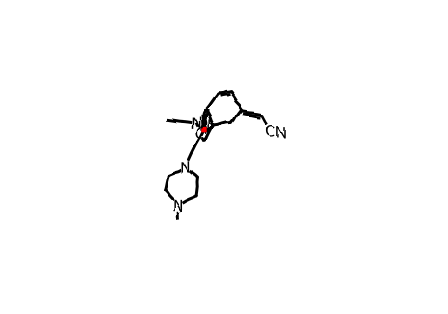 CN1CCN(C2=C3CN(C)CC34CC(=CC#N)C=CC4=NC=C2)CC1